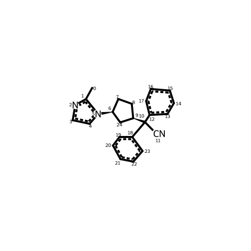 Cc1nccn1[C@H]1CC[C@@H](C(C#N)(c2ccccc2)c2ccccc2)C1